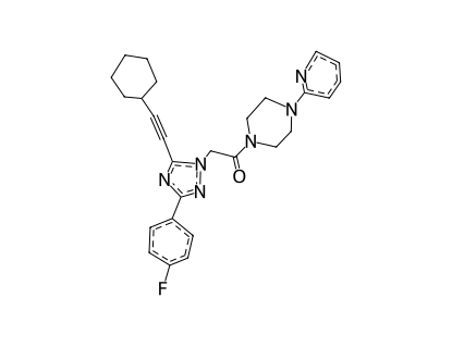 O=C(Cn1nc(-c2ccc(F)cc2)nc1C#CC1CCCCC1)N1CCN(c2ccccn2)CC1